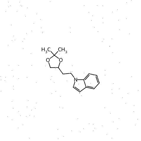 CC1(C)OCC(CCn2c[c]c3ccccc32)O1